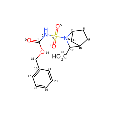 O=C(NS(=O)(=O)N1C2CCC(C2)C1C(=O)O)OCc1ccccc1